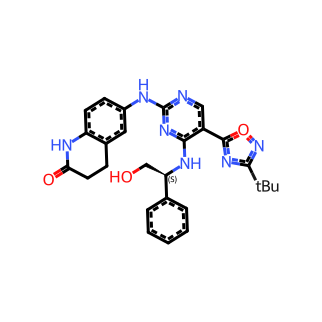 CC(C)(C)c1noc(-c2cnc(Nc3ccc4c(c3)CCC(=O)N4)nc2N[C@H](CO)c2ccccc2)n1